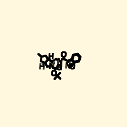 CC1C[C@H]2CN(C(=O)OC(C)(C)C)[C@H](CNC(=O)c3noc4ccccc34)[C@H]2C1